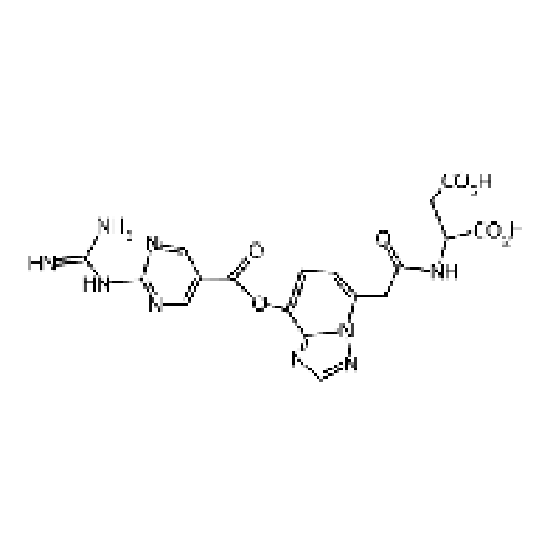 N=C(N)Nc1ncc(C(=O)Oc2ccc(CC(=O)NC(CC(=O)O)C(=O)O)n3ncnc23)cn1